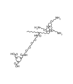 CCCCCCCCN(CCC[C@@H](C)C1CC[C@H]2C3[C@H](OCCCN)CC4C[C@H](OCCCN)CCC4(C)[C@H]3C[C@H](OCCCN)C12C)C(=O)NCCOCCOCCOCCOCCNC(=O)CN1CCN(CC(=O)O)CCN(CC(=O)O)CC1